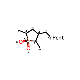 CCCCCCC1CC(C)S(=O)(=O)C1C